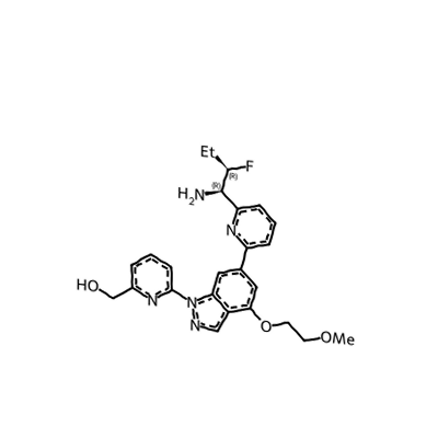 CC[C@@H](F)[C@H](N)c1cccc(-c2cc(OCCOC)c3cnn(-c4cccc(CO)n4)c3c2)n1